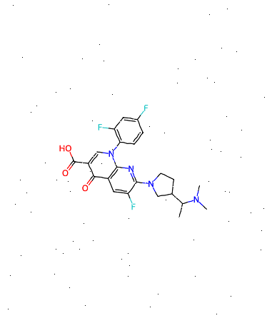 CC(C1CCN(c2nc3c(cc2F)c(=O)c(C(=O)O)cn3-c2ccc(F)cc2F)C1)N(C)C